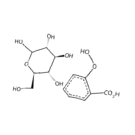 O=C(O)c1ccccc1OO.OC[C@H]1OC(O)[C@H](O)[C@@H](O)[C@@H]1O